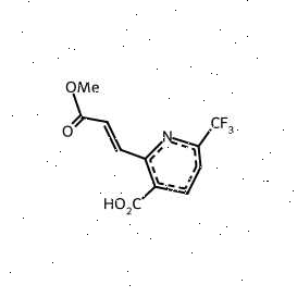 COC(=O)C=Cc1nc(C(F)(F)F)ccc1C(=O)O